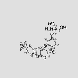 NC(CO)(CO)CCc1ccc2c(=O)c3ccc(Oc4ccc(C(F)(F)F)cc4)cc3sc2c1